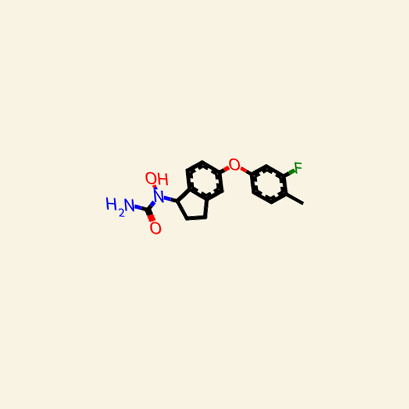 Cc1ccc(Oc2ccc3c(c2)CCC3N(O)C(N)=O)cc1F